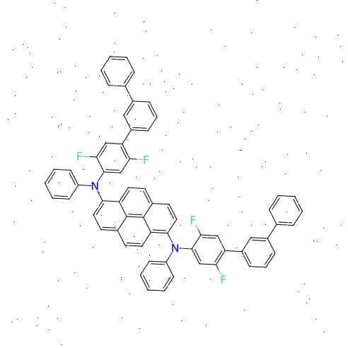 Fc1cc(N(c2ccccc2)c2ccc3ccc4c(N(c5ccccc5)c5cc(F)c(-c6cccc(-c7ccccc7)c6)cc5F)ccc5ccc2c3c54)c(F)cc1-c1cccc(-c2ccccc2)c1